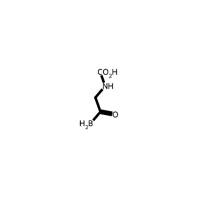 BC(=O)CNC(=O)O